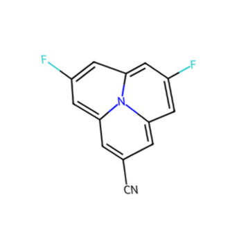 N#CC1=CC2=CC(F)=CC3=CC(F)=CC(=C1)N32